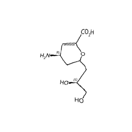 N[C@H]1C=C(C(=O)O)OC(C[C@H](O)CO)C1